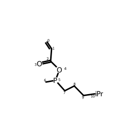 C=CC(=O)OP(C)CCCC(C)C